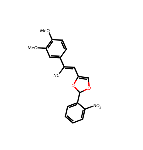 COc1ccc(/C(C#N)=C/C2=COC(c3ccccc3[N+](=O)[O-])O2)cc1OC